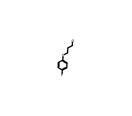 Fc1ccc(OCCCCl)cc1